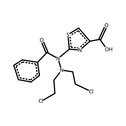 O=C(O)c1csc(N(C(=O)c2ccccc2)N(CCCl)CCCl)n1